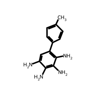 Cc1ccc(-c2cc(N)c(N)c(N)c2N)cc1